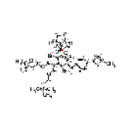 Cc1cnc(-c2ccc(-c3cnn4c(N(COCC[Si](C)(C)C)COCC[Si](C)(C)C)c(Br)c([C@@H]5C[C@H]6CC[C@@H](C5)N6C(=O)OC(C)(C)C)nc34)cn2)s1